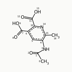 CC(=O)Nc1cc(C(=O)O)c(C(=O)O)nc1C